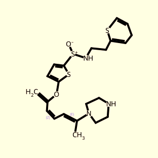 C=C(/C=C\C=C(/C)N1CCNCC1)Oc1ccc([S+]([O-])NCCC2=CCC=CS2)s1